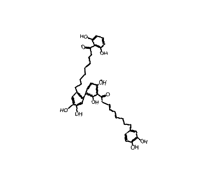 O=C(CCCCCCCCc1cc(O)c(O)cc1-c1ccc(O)c(C(=O)CCCCCCCCc2ccc(O)c(O)c2)c1O)c1c(O)cccc1O